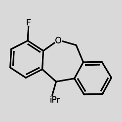 CC(C)C1c2ccccc2COc2c(F)cccc21